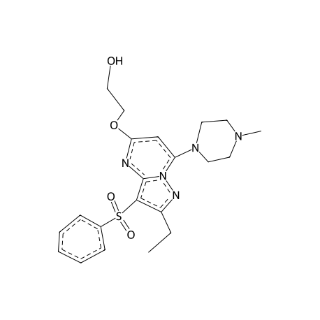 CCc1nn2c(N3CCN(C)CC3)cc(OCCO)nc2c1S(=O)(=O)c1ccccc1